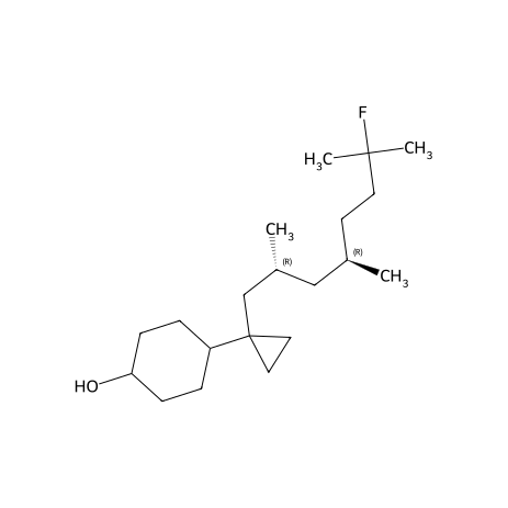 C[C@H](CCC(C)(C)F)C[C@@H](C)CC1(C2CCC(O)CC2)CC1